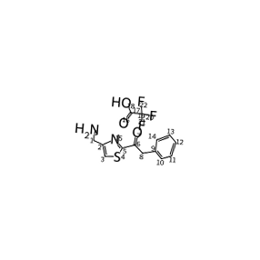 NCc1csc(C(=O)Cc2ccccc2)n1.O=C(O)C(F)(F)F